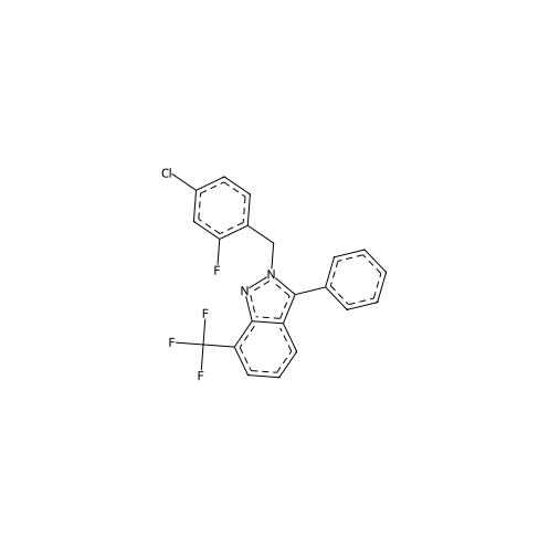 Fc1cc(Cl)ccc1Cn1nc2c(C(F)(F)F)cccc2c1-c1ccccc1